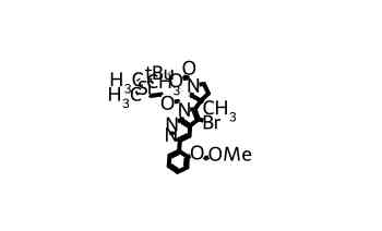 COCOc1ccccc1-c1cc2c(Br)c(C3(C)CCN(C(=O)OC(C)(C)C)C3)n(COCC[Si](C)(C)C)c2nn1